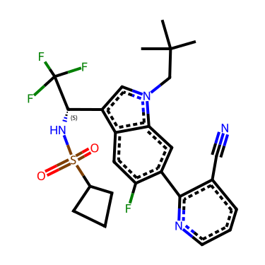 CC(C)(C)Cn1cc([C@H](NS(=O)(=O)C2CCC2)C(F)(F)F)c2cc(F)c(-c3ncccc3C#N)cc21